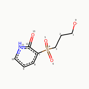 [O]CCCS(=O)(=O)c1ccc[nH]c1=O